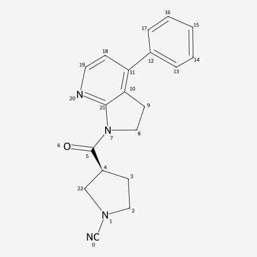 N#CN1CC[C@H](C(=O)N2CCc3c(-c4ccccc4)ccnc32)C1